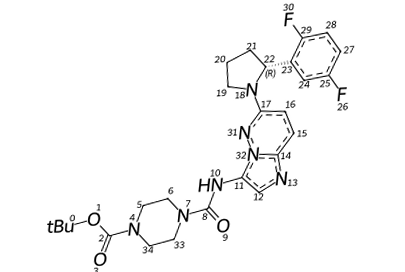 CC(C)(C)OC(=O)N1CCN(C(=O)Nc2cnc3ccc(N4CCC[C@@H]4c4cc(F)ccc4F)nn23)CC1